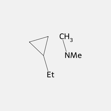 CCC1CC1.CNC